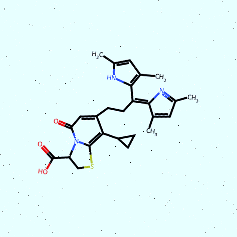 CC1=CC(C)=NC1=C(CCc1cc(=O)n2c(c1C1CC1)SCC2C(=O)O)c1[nH]c(C)cc1C